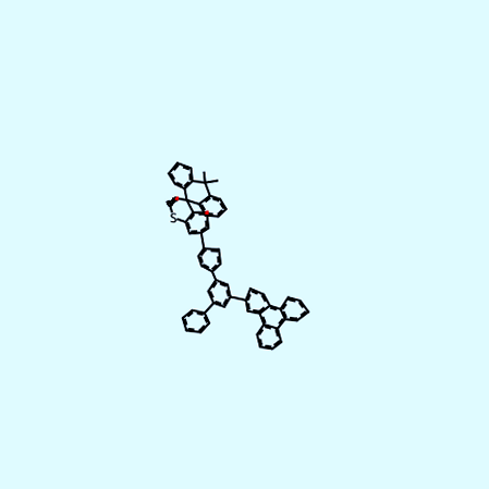 CC1(C)c2ccccc2C2(c3ccccc3Sc3cc(-c4ccc(-c5cc(-c6ccccc6)cc(-c6ccc7c8ccccc8c8ccccc8c7c6)c5)cc4)ccc32)c2ccccc21